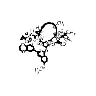 COc1ccc2c(O[C@@H]3C[C@H]4C(=O)N[C@]5(C(=O)NS(=O)(=O)C6(C)CC6)C[C@H]5C=CCC[C@@H](C)C[C@@H](C)[C@H](N(C(=O)O)C(C)(C)C(C)(F)F)C(=O)N4C3)nc(-c3ccc4c(c3)OCCO4)cc2c1